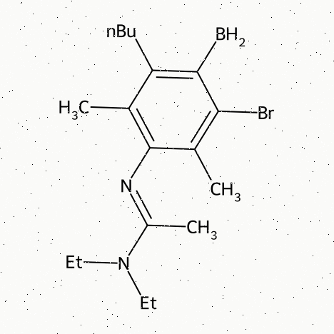 Bc1c(Br)c(C)c(/N=C(\C)N(CC)CC)c(C)c1CCCC